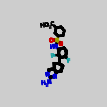 Nc1ncc2cc(-c3c(F)ccc(NS(=O)(=O)C4CCCC(C(=O)O)C4)c3F)ccc2n1